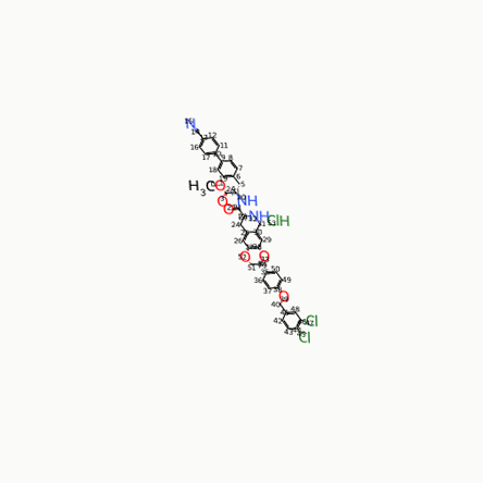 COC(=O)[C@H](Cc1ccc(-c2ccc(C#N)cc2)cc1)NC(=O)[C@@H]1Cc2cc3c(cc2CN1)O[C@H](c1ccc(OCc2ccc(Cl)c(Cl)c2)cc1)CO3.Cl